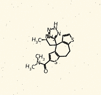 C[C@@H](N)CC1(c2nn[nH]n2)c2ccsc2CCc2sc(C(=O)N(C)C)cc21